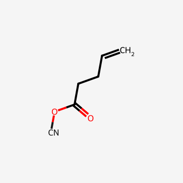 C=CCCC(=O)OC#N